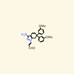 COc1cccc(C2(c3cccc(OC)c3)C=Cc3c(N)nn(C=CC=O)c3C2)c1